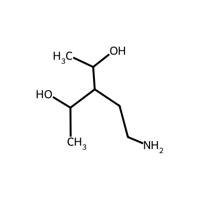 CC(O)C(CCN)C(C)O